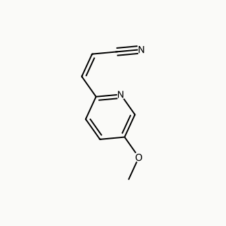 COc1ccc(/C=C\C#N)nc1